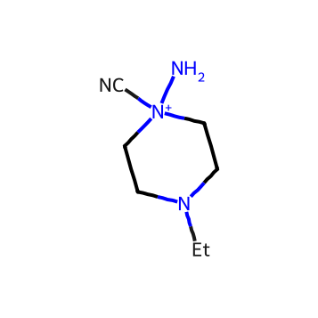 CCN1CC[N+](N)(C#N)CC1